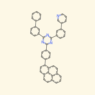 c1ccc(-c2cccc(-c3nc(-c4ccc(-c5ccc6ccc7cccc8ccc5c6c78)cc4)nc(-c4cccc(-c5cccnc5)c4)n3)c2)cc1